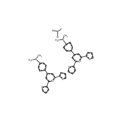 CN(C)c1ccc(-c2cc(-c3cccs3)[o+]c(-c3cccs3)c2)cc1.CN(C)c1ccc(-c2cc(-c3cccs3)[o+]c(-c3cccs3)c2)cc1.[O-]B([O-])F